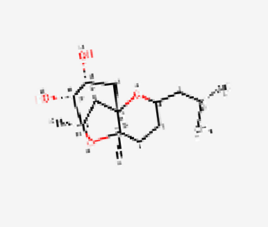 [C-]#[N+][C@H](C)CC1CC[C@@H]2O[C@@H]3C[C@]2(C[C@@H](O)[C@H]3O)O1